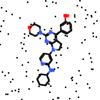 Oc1cccc(-c2nc(N3CCOCC3)nc3c2CCN3c2ccnc(NC3CCCCC3)c2)c1